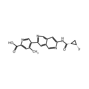 Cc1cc(C(=O)O)ncc1-c1cc2cnc(NC(=O)[C@@H]3C[C@@H]3F)cc2cn1